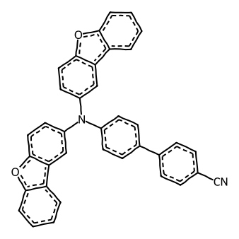 N#Cc1ccc(-c2ccc(N(c3ccc4oc5ccccc5c4c3)c3ccc4oc5ccccc5c4c3)cc2)cc1